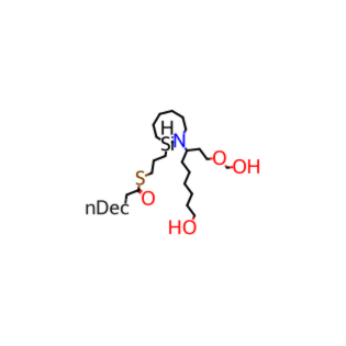 CCCCCCCCCCCC(=O)SCCC[SiH]1CCCCCCN1C(CCCCCCO)CCOCO